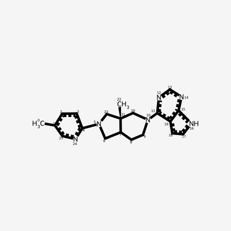 Cc1ccc(N2CC3CCN(c4ncnc5[nH]ccc45)C[C@@]3(C)C2)nc1